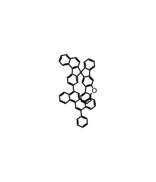 c1ccc(-c2cc3c4ccccc4c(-c4ccc5c(c4)C4(c6ccccc6-c6cc7oc8ccccc8c7cc64)c4ccc6ccccc6c4-5)cc3c3ccccc23)cc1